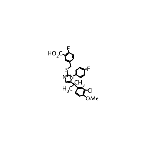 COc1ccc(C(C)(C)c2cnc(SCc3ccc(F)c(C(=O)O)c3)n2-c2ccc(F)cc2)cc1Cl